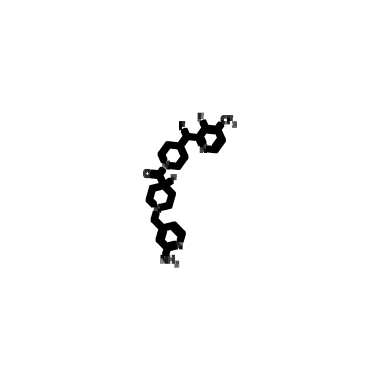 Nc1cc(CN2CCC(F)(C(=O)N3CCC(C(F)c4nccc(C(F)(F)F)c4F)CC3)CC2)ccn1